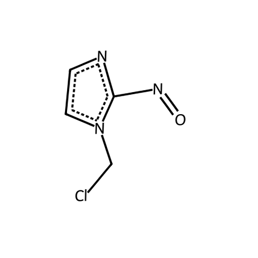 O=Nc1nccn1CCl